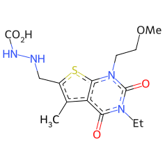 CCn1c(=O)c2c(C)c(CNNC(=O)O)sc2n(CCOC)c1=O